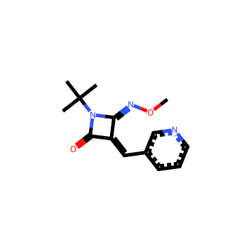 CO/N=C1\C(=C/c2cccnc2)C(=O)N1C(C)(C)C